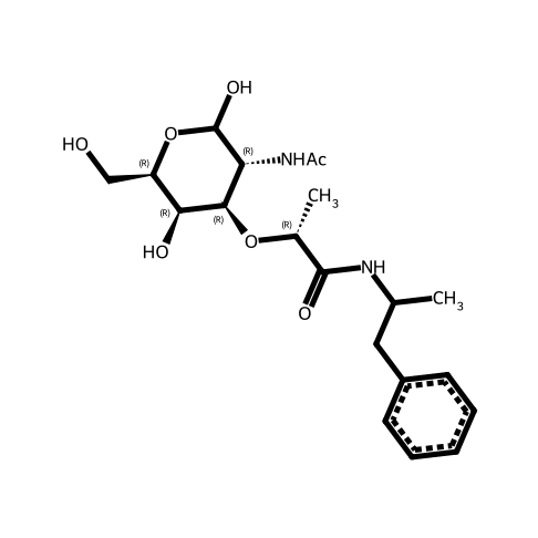 CC(=O)N[C@H]1C(O)O[C@H](CO)[C@H](O)[C@@H]1O[C@H](C)C(=O)NC(C)Cc1ccccc1